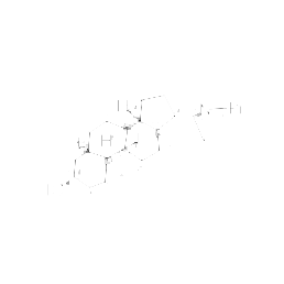 C/C(=N\C(C)C)[C@H]1CC[C@H]2[C@@H]3CC[C@@H]4C[C@H](O)CC[C@]4(C)[C@H]3CC[C@]12C